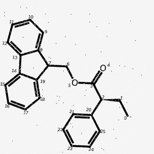 [CH2]C[C@H](C(=O)OCC1c2ccccc2-c2ccccc21)c1ccccc1